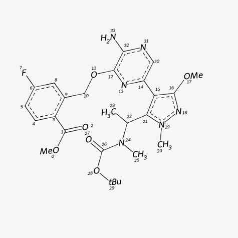 COC(=O)c1ccc(F)cc1COc1nc(-c2c(OC)nn(C)c2C(C)N(C)C(=O)OC(C)(C)C)cnc1N